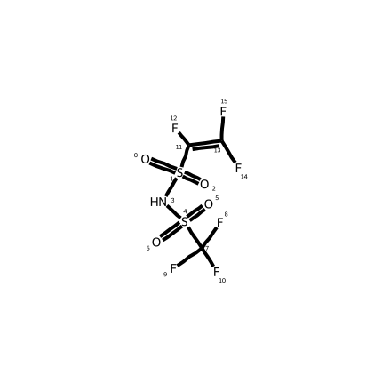 O=S(=O)(NS(=O)(=O)C(F)(F)F)C(F)=C(F)F